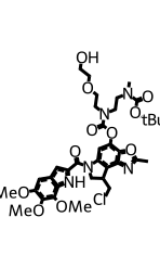 COc1cc2cc(C(=O)N3CC(CCl)c4c3cc(OC(=O)N(CCOCCO)CCN(C)C(=O)OC(C)(C)C)c3oc(C)nc43)[nH]c2c(OC)c1OC